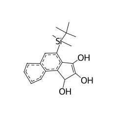 CC(C)(C)[Si](C)(C)c1cc2ccccc2c2c1C(O)=C(O)C2O